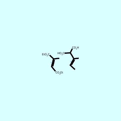 C/C=C(\C)C(C(=O)O)C(=O)O.CCOC(=O)/C=C(\C)C(=O)OCC